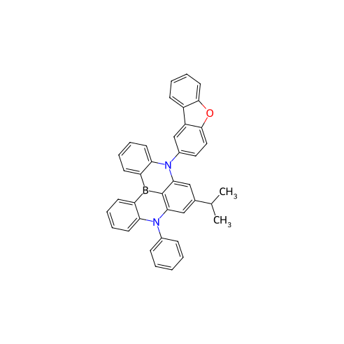 CC(C)c1cc2c3c(c1)N(c1ccc4oc5ccccc5c4c1)c1ccccc1B3c1ccccc1N2c1ccccc1